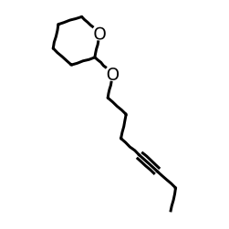 CCC#CCCCOC1CCCCO1